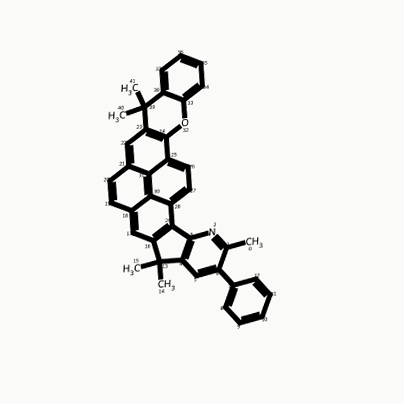 Cc1nc2c(cc1-c1ccccc1)C(C)(C)c1cc3ccc4cc5c(c6ccc(c1-2)c3c46)Oc1ccccc1C5(C)C